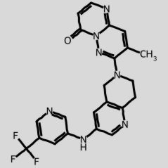 Cc1cc2nccc(=O)n2nc1N1CCc2ncc(Nc3cncc(C(F)(F)F)c3)cc2C1